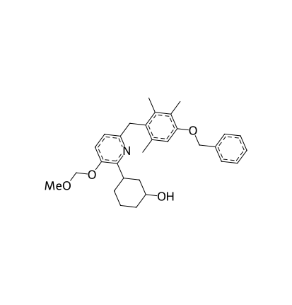 COCOc1ccc(Cc2c(C)cc(OCc3ccccc3)c(C)c2C)nc1C1CCCC(O)C1